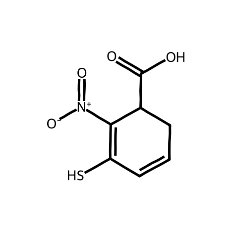 O=C(O)C1CC=CC(S)=C1[N+](=O)[O-]